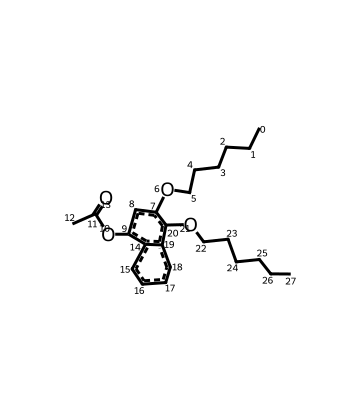 CCCCCCOc1cc(OC(C)=O)c2ccccc2c1OCCCCCC